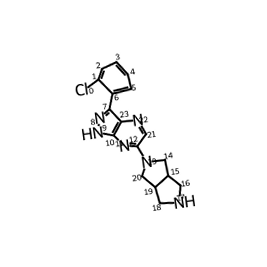 Clc1ccccc1-c1n[nH]c2nc(N3CC4CNCC4C3)cnc12